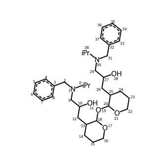 CC(C)N(Cc1ccccc1)CC(O)CC1CCCOC1OC1OCCCC1CC(O)CN(Cc1ccccc1)C(C)C